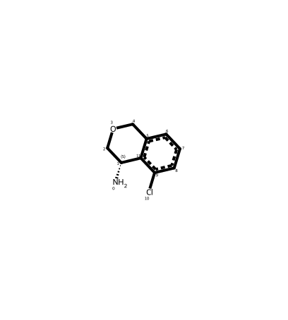 N[C@@H]1COCc2cccc(Cl)c21